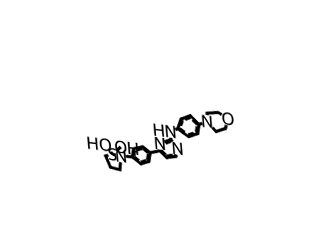 OS1(O)CCCN1c1ccc(-c2ccnc(Nc3ccc(N4CCOCC4)cc3)n2)cc1